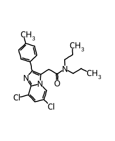 CCCN(CCC)C(=O)Cc1c(-c2ccc(C)cc2)nc2c(Cl)cc(Cl)cn12